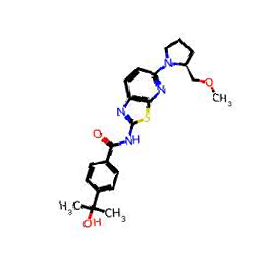 COC[C@@H]1CCCN1c1ccc2nc(NC(=O)c3ccc(C(C)(C)O)cc3)sc2n1